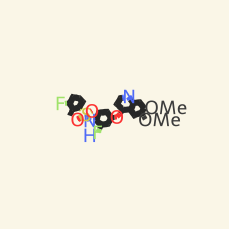 COc1cc2nccc(Oc3ccc(NS(=O)(=O)c4cccc(F)c4C)c(F)c3)c2cc1OC